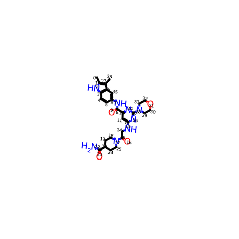 Cc1[nH]c2ccc(NC(=O)c3cc(NCC(=O)N4CCC(C(N)=O)CC4)nc(N4CCOCC4)n3)cc2c1C